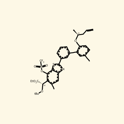 C=CC[C@H](C)Oc1ccc(C)cc1-c1cccc(-c2nc3cc(C)c([C@H](OC(C)(C)C)C(=O)OCC)c(OS(=O)(=O)C(F)(F)F)c3s2)c1